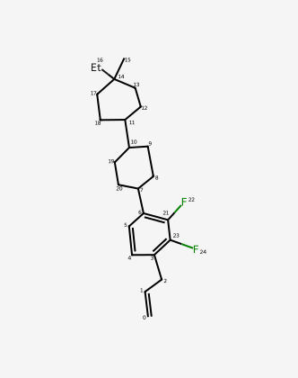 C=CCc1ccc(C2CCC(C3CCC(C)(CC)CC3)CC2)c(F)c1F